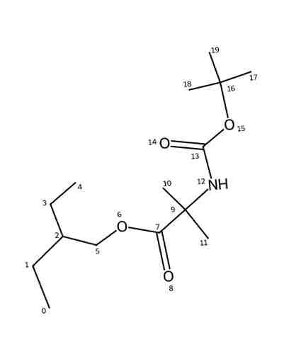 CCC(CC)COC(=O)C(C)(C)NC(=O)OC(C)(C)C